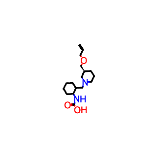 C=CCOC[C@H]1CCCN(CC2CCCCC2NC(=O)O)C1